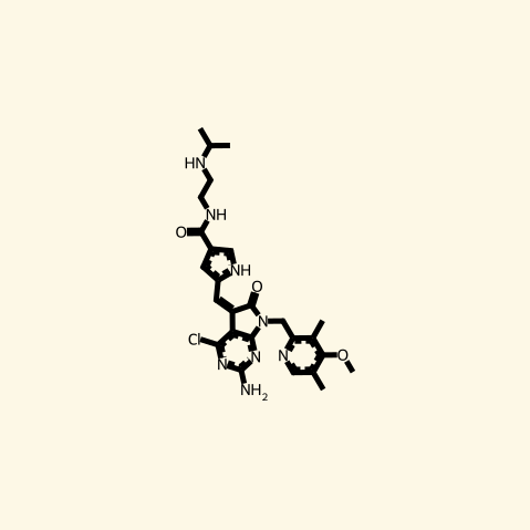 COc1c(C)cnc(CN2C(=O)C(=Cc3cc(C(=O)NCCNC(C)C)c[nH]3)c3c(Cl)nc(N)nc32)c1C